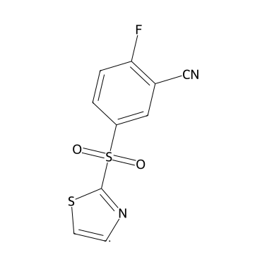 N#Cc1cc(S(=O)(=O)c2n[c]cs2)ccc1F